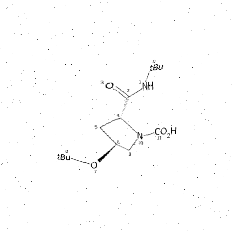 CC(C)(C)NC(=O)[C@H]1C[C@H](OC(C)(C)C)CN1C(=O)O